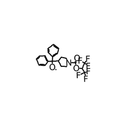 COC(c1ccccc1)(c1ccccc1)C1CCN(C(=O)OC(C(F)(F)F)C(F)(F)F)CC1